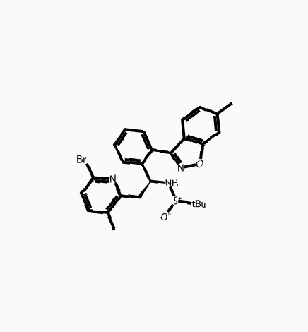 Cc1ccc2c(-c3ccccc3[C@H](Cc3nc(Br)ccc3C)N[S+]([O-])C(C)(C)C)noc2c1